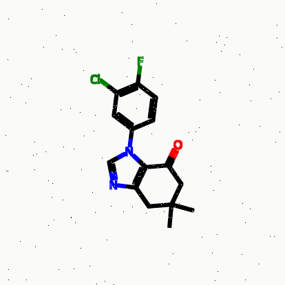 CC1(C)CC(=O)c2c(ncn2-c2ccc(F)c(Cl)c2)C1